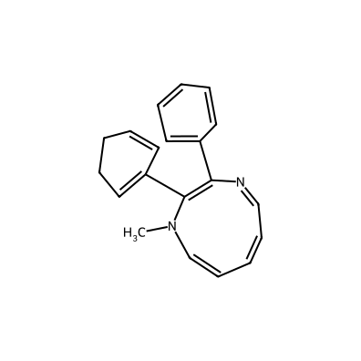 Cn1cccccnc(-c2ccccc2)c1C1=CCCC=C1